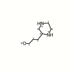 [O]CCCC1CNCCN1